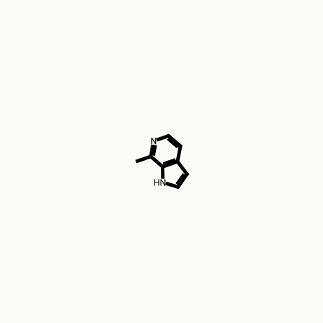 Cc1nccc2cc[nH]c12